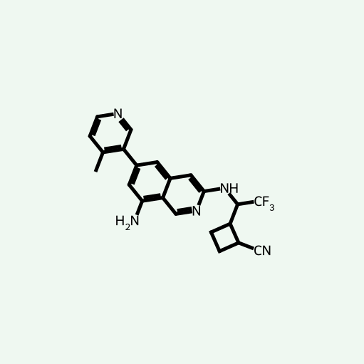 Cc1ccncc1-c1cc(N)c2cnc(NC(C3CCC3C#N)C(F)(F)F)cc2c1